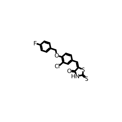 O=C1NC(=S)S/C1=C/c1ccc(OCc2ccc(F)cc2)c(Cl)c1